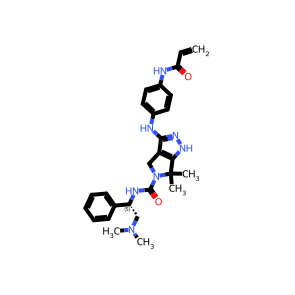 C=CC(=O)Nc1ccc(Nc2n[nH]c3c2CN(C(=O)N[C@H](CN(C)C)c2ccccc2)C3(C)C)cc1